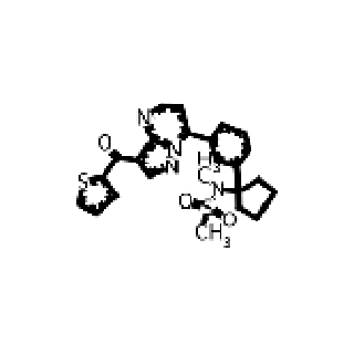 CN(C1(c2cccc(-c3ccnc4c(C(=O)c5cccs5)cnn34)c2)CCCC1)S(C)(=O)=O